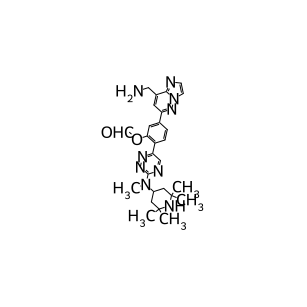 CN(c1ncc(-c2ccc(-c3cc(CN)c4nccn4n3)cc2OC=O)nn1)C1CC(C)(C)NC(C)(C)C1